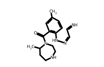 Cc1ccc(N/N=C\C=N)c(C(=O)N2CCNCCC2C)c1